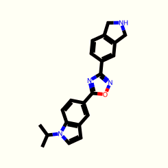 CC(C)n1ccc2cc(-c3nc(-c4ccc5c(c4)CNC5)no3)ccc21